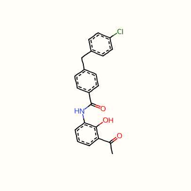 CC(=O)c1cccc(NC(=O)c2ccc(Cc3ccc(Cl)cc3)cc2)c1O